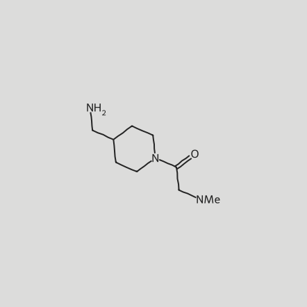 CNCC(=O)N1CCC(CN)CC1